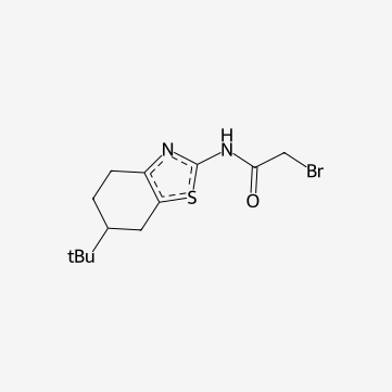 CC(C)(C)C1CCc2nc(NC(=O)CBr)sc2C1